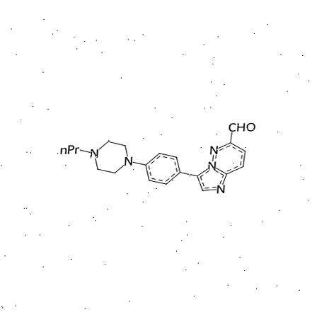 CCCN1CCN(c2ccc(-c3cnc4ccc(C=O)nn34)cc2)CC1